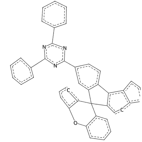 c1ccc(-c2nc(-c3ccccc3)nc(-c3ccc4c(c3)C3(c5ccccc5Oc5ccccc53)c3ccc5occc5c3-4)n2)cc1